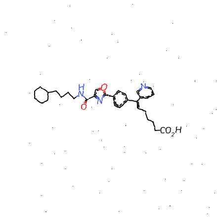 O=C(O)CCCCC=C(c1ccc(-c2nc(C(=O)NCCCCC3CCCCC3)co2)cc1)c1cccnc1